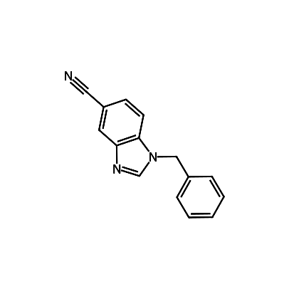 N#Cc1ccc2c(c1)ncn2Cc1ccccc1